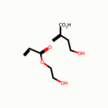 C=C(CCO)C(=O)O.C=CC(=O)OCCO